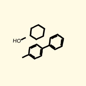 C1CCCCC1.CO.Cc1ccc(-c2ccccc2)cc1